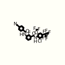 N#Cc1ccc(C(=O)Nc2cccc(C(=O)Nc3c(Cl)cc(C(F)(C(F)(F)F)C(F)(F)F)cc3OC(F)F)c2F)cc1